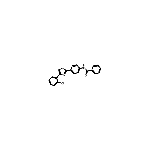 O=C(Nc1ccc(-c2nc(-c3ccccc3Cl)co2)cc1)c1ccccc1